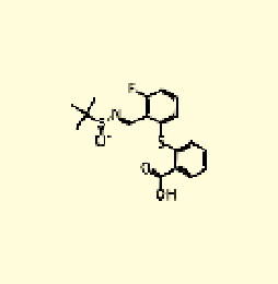 CC(C)(C)[S+]([O-])/N=C/c1c(F)cccc1Sc1ccccc1C(=O)O